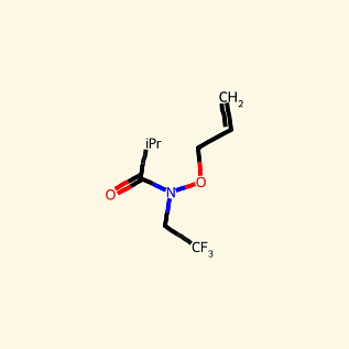 C=CCON(CC(F)(F)F)C(=O)C(C)C